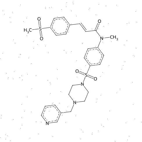 CN(C(=O)/C=C/c1ccc(S(C)(=O)=O)cc1)c1ccc(S(=O)(=O)N2CCN(Cc3cccnc3)CC2)cc1